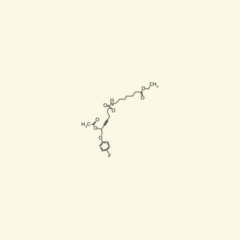 CCOC(=O)CCCCCCNS(=O)(=O)CCC#CC(COc1ccc(F)cc1)OC(C)=O